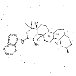 C[C@@H]1[C@H]2[C@H]3CC[C@@H]4[C@@]5(C)C(S)C(Nc6cccc7ccccc67)CC(C)(C)[C@@H]5CC[C@@]4(C)[C@]3(C)CC[C@@]2(C)CC[C@H]1C